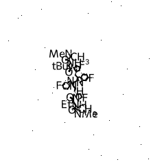 CC[C@H](NC(=O)[C@H](C)NC)C(=O)N1C[C@@H](F)C[C@H]1CCn1c(-c2[nH]c3cc(F)ccc3c2C[C@@H]2C[C@H](F)CN2C(=O)C(NC(=O)[C@H](C)NC)C(C)(C)C)nc2cc(F)ccc21